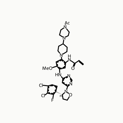 C=CC(=O)Nc1cc(Nc2cc(N3OCC[C@@H]3c3ccc(Cl)c(Cl)c3F)ncn2)c(OC)cc1N1CCC(N2CCN(C(C)=O)CC2)CC1